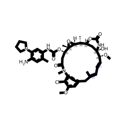 COc1cc2cc(c1Cl)N(C)C(=O)C[C@H](OC(=O)Nc1cc(N3CCCC3)c(N)cc1C)[C@]1(C)O[C@H]1[C@H](C)[C@@H]1C[C@@](O)(NC(=O)O1)[C@H](OC)/C=C/C=C(\C)C2